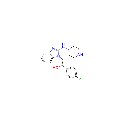 OC(Cn1c(NC2CCNCC2)nc2ccccc21)c1ccc(Cl)cc1